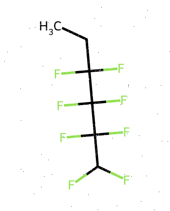 CCC(F)(F)C(F)(F)C(F)(F)C(F)F